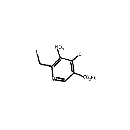 CCOC(=O)c1cnc(CI)c([N+](=O)[O-])c1Cl